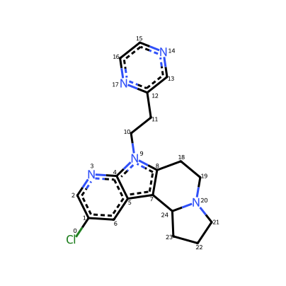 Clc1cnc2c(c1)c1c(n2CCc2cnccn2)CCN2CCCC12